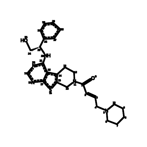 O=C(/C=C/CN1CCCCC1)N1CCc2c(sc3ncnc(N[C@H](CO)c4ccccc4)c23)C1